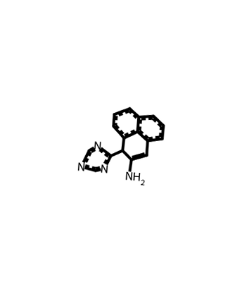 NC1=Cc2cccc3cccc(c23)C1c1ncncn1